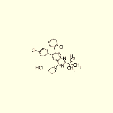 CC(C)(C)c1nc(N2CCCC2)c2cc(-c3ccc(Cl)cc3)c(-c3ccccc3Cl)nc2n1.Cl